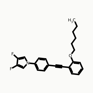 CCCCCCOc1ccccc1C#Cc1ccc(-n2cc(F)c(F)c2)cc1